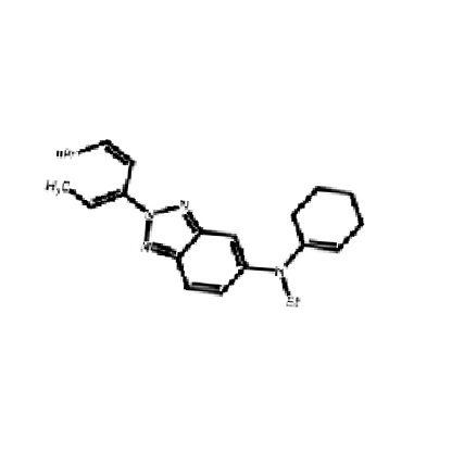 C/C=C(\C=C/CCC)n1nc2ccc(N(CC)C3=CCCCC3)cc2n1